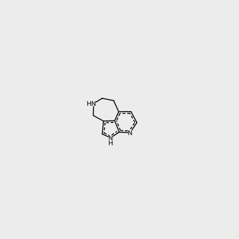 c1cc2c3c(c[nH]c3n1)CNCC2